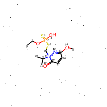 CCOP(O)(=S)SC[N+]1(C(C)C)N=C(OC)C=CC1=O